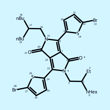 CCCCCCC(CC)CN1C(=O)C2=C(c3ccc(Br)s3)N(CC(CCCC)CCCC)C(=O)C2=C1c1ccc(Br)s1